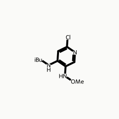 CCC(C)Nc1cc(Cl)ncc1NOC